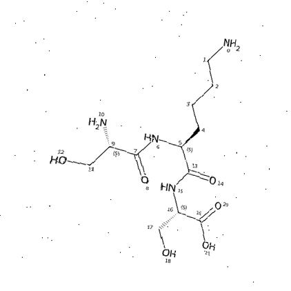 NCCCC[C@H](NC(=O)[C@@H](N)CO)C(=O)N[C@@H](CO)C(=O)O